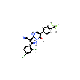 N#Cc1c(-c2ccc(Cl)cc2Cl)nn2c(=O)c(-c3ccc(C(F)(F)F)cc3)c[nH]c12